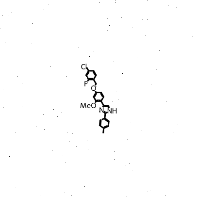 COc1cc(OCc2ccc(Cl)cc2F)ccc1-c1c[nH]c(-c2ccc(C)cc2)n1